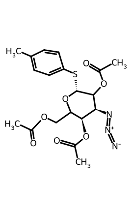 CC(=O)OCC1O[C@H](Sc2ccc(C)cc2)C(OC(C)=O)[C@@H](N=[N+]=[N-])[C@H]1OC(C)=O